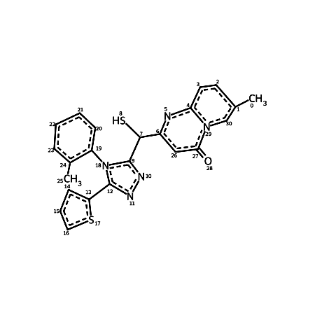 Cc1ccc2nc(C(S)c3nnc(-c4cccs4)n3-c3ccccc3C)cc(=O)n2c1